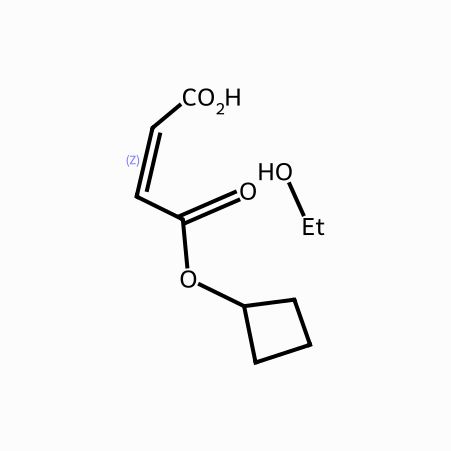 CCO.O=C(O)/C=C\C(=O)OC1CCC1